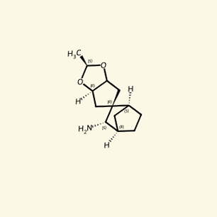 C[C@H]1OC2C[C@@]3(C[C@H]2O1)[C@H]1CC[C@H](C1)[C@@H]3N